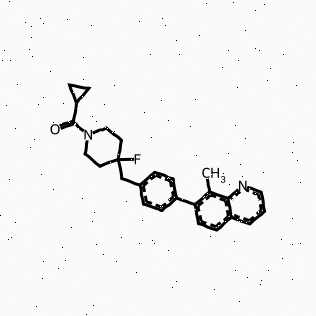 Cc1c(-c2ccc(CC3(F)CCN(C(=O)C4CC4)CC3)cc2)ccc2cccnc12